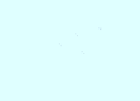 CC1(C)c2ccccc2-c2ccnc(-c3nc(-c4ccccc4)nc(-c4cccc5c4Cc4c(-c6ccccc6)cccc4-5)n3)c21